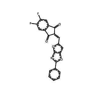 O=C1C(=Cc2cc3oc(-c4ccccc4)nc3o2)C(=O)c2cc(F)c(F)cc21